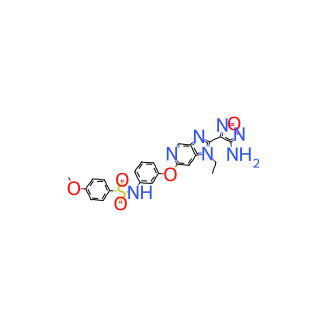 CCn1c(-c2nonc2N)nc2cnc(Oc3cccc(NS(=O)(=O)c4ccc(OC)cc4)c3)cc21